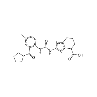 Cc1ccc(NC(=O)Nc2nc3c(s2)C(C(=O)O)CCC3)c(C(=O)C2CCCC2)c1